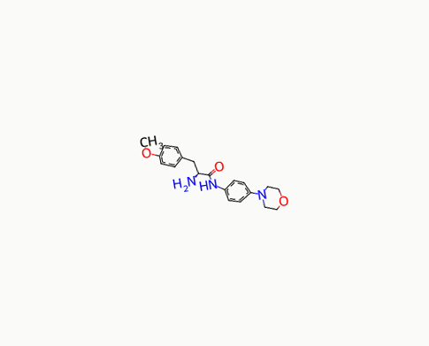 COc1ccc(C[C@H](N)C(=O)Nc2ccc(N3CCOCC3)cc2)cc1